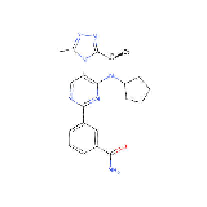 CC[C@@H]1c2nnc(C)n2-c2cnc(-c3cccc(C(N)=O)c3)nc2N1C1CCCC1